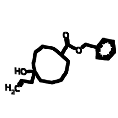 C=CCC1(O)CCCCCC(C(=O)OCc2ccccc2)CCCC1